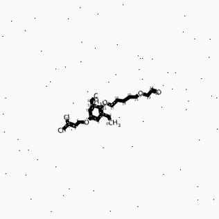 CCc1cc(OCC=C(Cl)Cl)cc(CC)c1OCCCCCOCC=O